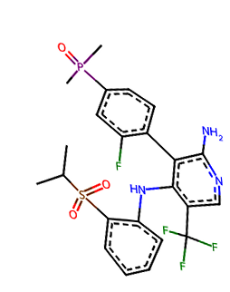 CC(C)S(=O)(=O)c1ccccc1Nc1c(C(F)(F)F)cnc(N)c1-c1ccc(P(C)(C)=O)cc1F